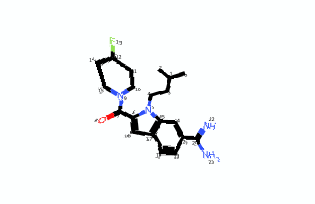 CC(C)CCn1c(C(=O)N2CCC(F)CC2)cc2ccc(C(=N)N)cc21